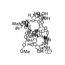 CN[C@H](CC(C)C)C(=O)N[C@H]1C(=O)N[C@@H](CC(=O)NC(=O)NCCOCCOC)C(=O)N[C@H]2C(=O)N[C@H]3C(=O)N[C@H](C(=O)N[C@H](C(=O)NC4C5CC6CC(C5)CC4C6)c4cc(O)cc(C)c4-c4cc3ccc4O)[C@H](O)c3ccc(c(Cl)c3)Oc3cc2cc2c3O[C@@H]3O[C@H](C(N)c4cc(ccc4O2)[C@H]1O)[C@@H](O)[C@H](O)[C@H]3O